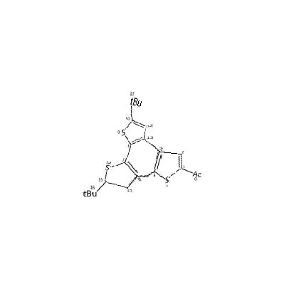 CC(=O)c1cc2c(s1)c1c(c3sc(C(C)(C)C)cc32)SC(C(C)(C)C)C1